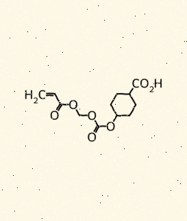 C=CC(=O)OCOC(=O)OC1CCC(C(=O)O)CC1